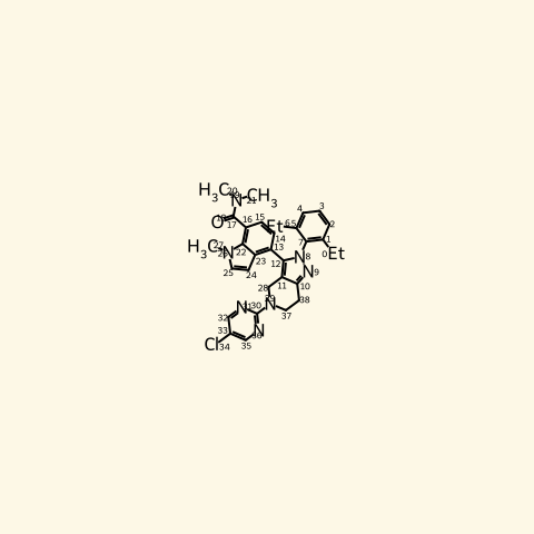 CCc1cccc(CC)c1-n1nc2c(c1-c1ccc(C(=O)N(C)C)c3c1ccn3C)CN(c1ncc(Cl)cn1)CC2